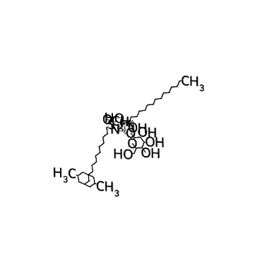 CCCCCCCCCCCCCC[C@@H](O)[C@@H](O)[C@H](COC1OC(CO)C(O)C(O)C1O)N=S(C)(=O)CCCCCCCCCCC12CC(C)CC(CC(C)C1)C2